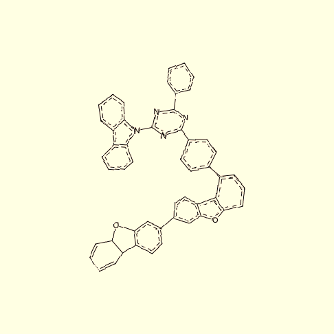 C1=CC2Oc3cc(-c4ccc5c(c4)oc4cccc(-c6ccc(-c7nc(-c8ccccc8)nc(-n8c9ccccc9c9ccccc98)n7)cc6)c45)ccc3C2C=C1